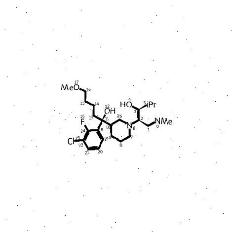 CNC[C@H]([C@@H](O)C(C)C)N1CCCC([C@@](O)(CCCCOC)c2cccc(Cl)c2F)C1